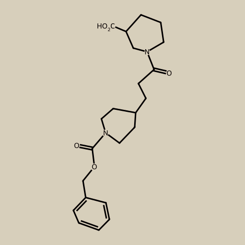 O=C(O)C1CCCN(C(=O)CCC2CCN(C(=O)OCc3ccccc3)CC2)C1